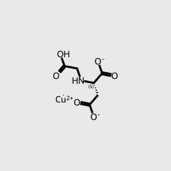 O=C([O-])C[C@H](NCC(=O)O)C(=O)[O-].[Cu+2]